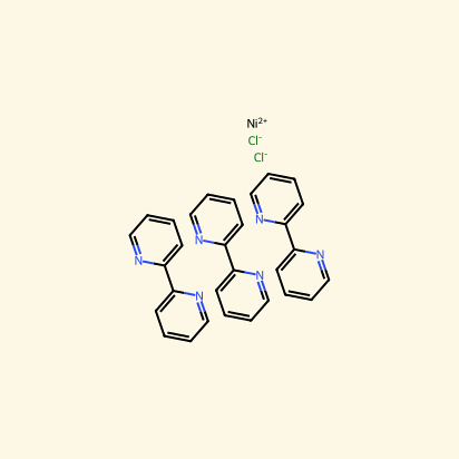 [Cl-].[Cl-].[Ni+2].c1ccc(-c2ccccn2)nc1.c1ccc(-c2ccccn2)nc1.c1ccc(-c2ccccn2)nc1